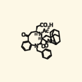 CC(=O)N1[C@H](CC(=O)O)CC(=O)c2ccccc2N(Cc2ccccc2)C(=O)[C@@]1(CC12CC3CC(CC(C3)C1)C2)C(N)=O